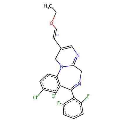 CCO/C=C/C1=CN=C2CN=C(c3c(F)cccc3F)c3c(ccc(Cl)c3Cl)N2C1